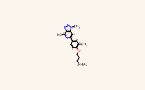 CC(=O)NCCCOc1ccc(-c2cc3c(nnn3C)c(C#N)n2)cc1C